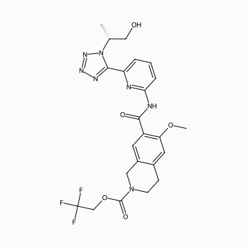 COc1cc2c(cc1C(=O)Nc1cccc(-c3nnnn3[C@H](C)CO)n1)CN(C(=O)OCC(F)(F)F)CC2